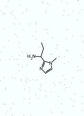 CCC(N)c1nccn1C